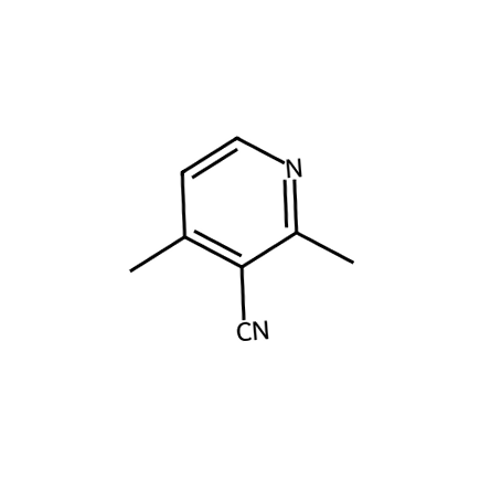 Cc1ccnc(C)c1C#N